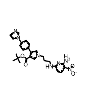 CC(C)(C)OC(=O)c1cn(CCCNc2ccc([N+](=O)[O-])c(N)n2)cc1-c1ccc(-n2ccnc2)cc1